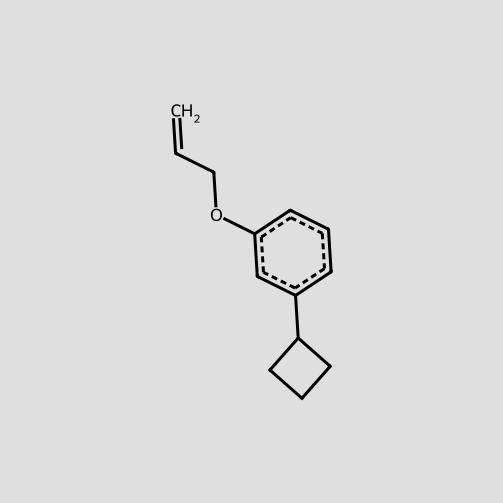 C=CCOc1cccc(C2CCC2)c1